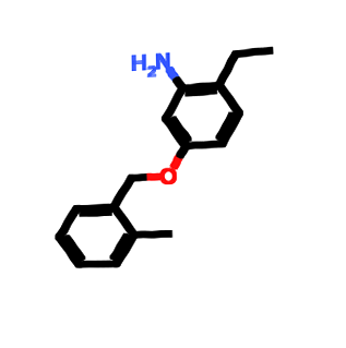 CCc1ccc(OCc2ccccc2C)cc1N